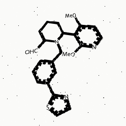 COc1ccnc(OC)c1C1CCCC(C=O)N1Cc1cccc(-c2nccs2)c1